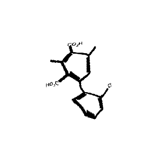 Cc1cc(-c2ccccc2Cl)c(C(=O)O)c(C)c1C(=O)O